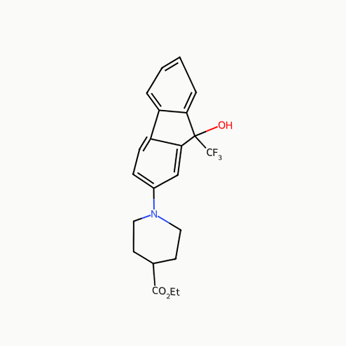 CCOC(=O)C1CCN(c2ccc3c(c2)C(O)(C(F)(F)F)c2ccccc2-3)CC1